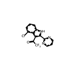 O=C(c1c(-c2ncccn2)[nH]c2cccc(Cl)c12)C(F)(F)F